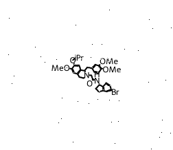 COc1ccc(CC2c3cc(OC(C)C)c(OC)cc3CCN2CC(=O)NC2CCc3cc(Br)ccc32)cc1OC